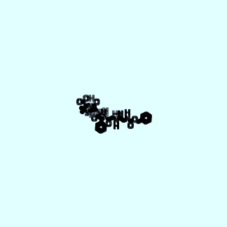 CC1(C)S[C@@H]2C(NC(=O)C(NC(=O)CNC(=N)CNC(=O)OCc3ccccc3)c3ccccc3)C(=O)N2[C@H]1C(=O)O